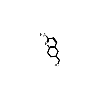 Nc1ccc2c(n1)CCC(CO)C2